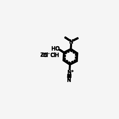 CN(C)c1ccc([N+]#N)cc1O.Cl.[Cl-].[Zn]